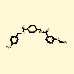 Cc1ccc(COC(=O)N2CCC(CNC(=O)c3ccnc(NCC(C)C)c3)CC2)cc1